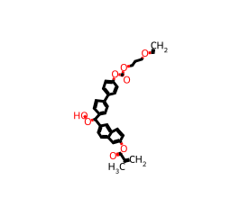 C=COCCCOC(=O)Oc1ccc(-c2ccc(C(OO)c3ccc4cc(OC(=O)C(=C)C)ccc4c3)cc2)cc1